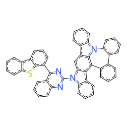 c1ccc2c(c1)-c1ccccc1-n1c3ccccc3c3cc4c(c-2c31)c1ccccc1n4-c1nc(-c2cccc3c2sc2ccccc23)c2ccccc2n1